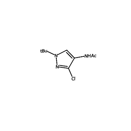 CC(=O)Nc1cn(C(C)(C)C)nc1Cl